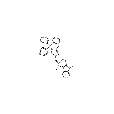 Cc1c2n(c3ccccc13)C(=O)C(=Cc1cn(C(c3ccccc3)(c3ccccc3)c3ccccc3)c(C)n1)CC2